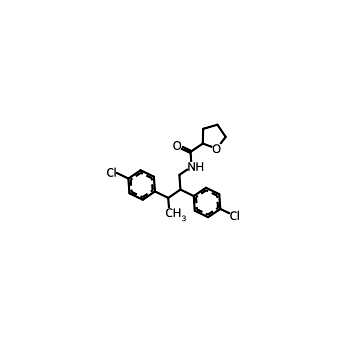 CC(c1ccc(Cl)cc1)C(CNC(=O)C1CCCO1)c1ccc(Cl)cc1